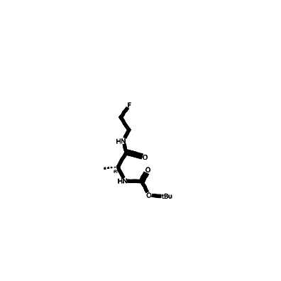 C[C@@H](NC(=O)OC(C)(C)C)C(=O)NCCF